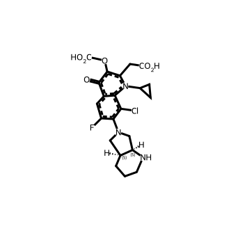 O=C(O)Cc1c(OC(=O)O)c(=O)c2cc(F)c(N3C[C@@H]4CCCN[C@@H]4C3)c(Cl)c2n1C1CC1